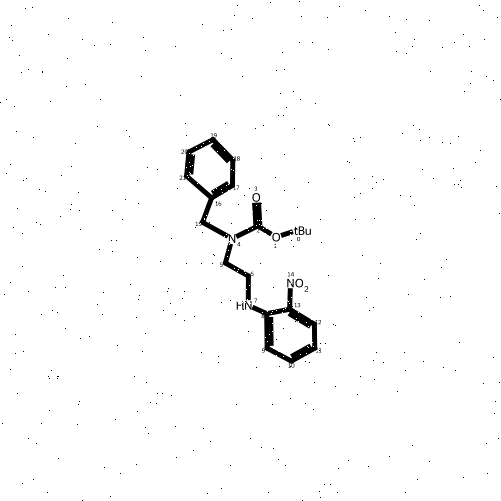 CC(C)(C)OC(=O)N(CCNc1ccccc1[N+](=O)[O-])Cc1ccccc1